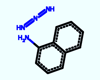 N=[N+]=N.Nc1cccc2ccccc12